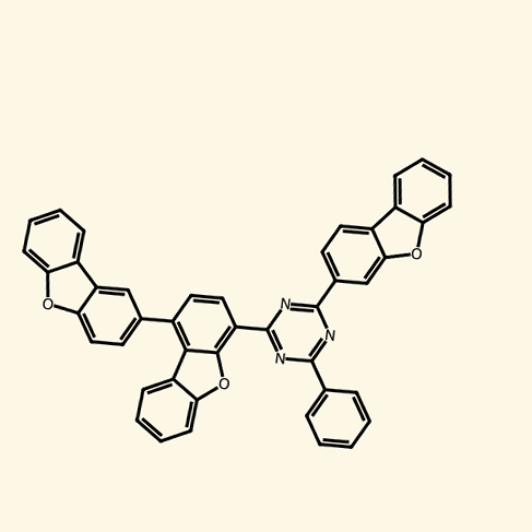 c1ccc(-c2nc(-c3ccc4c(c3)oc3ccccc34)nc(-c3ccc(-c4ccc5oc6ccccc6c5c4)c4c3oc3ccccc34)n2)cc1